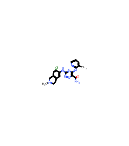 Cc1cccnc1Nc1nc(Nc2cc3c(cc2Cl)CN(C)CC3)nnc1C(N)=O